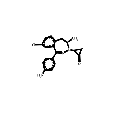 CC1Cc2ccc(Cl)cc2C(c2ccc(N)cc2)=NN1C1CC1=O